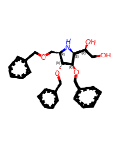 OC[C@H](O)[C@@H]1N[C@H](COCc2ccccc2)[C@@H](OCc2ccccc2)[C@@H]1OCc1ccccc1